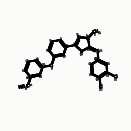 Cn1nc(-c2cccc(Oc3cccc(C(=O)O)c3)c2)sc1=Nc1ccc(Cl)c(Cl)c1